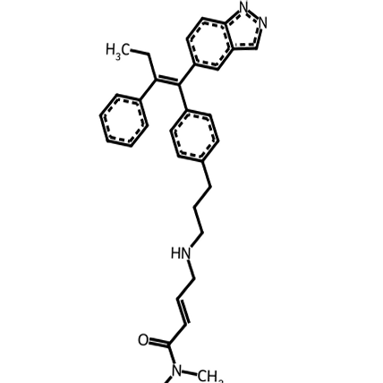 CC/C(=C(/c1ccc(CCCNC/C=C/C(=O)N(C)C)cc1)c1ccc2[nH]ncc2c1)c1ccccc1